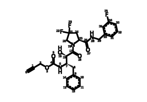 C#CCOC(=O)N[C@@H](Cc1ccccc1)[C@H](O)C(=O)N1CC(F)(F)C[C@H]1C(=O)NCc1cccc(F)c1